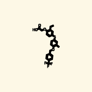 CCc1cc(Sc2ccc(OCc3ccc(C(F)(F)F)cc3)c(C)c2)ccc1OCC(=O)O